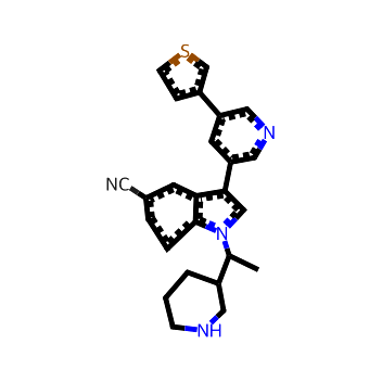 CC(C1CCCNC1)n1cc(-c2cncc(-c3ccsc3)c2)c2cc(C#N)ccc21